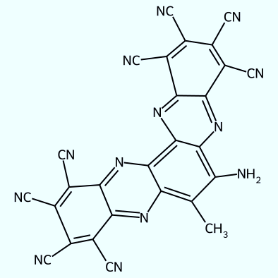 Cc1c(N)c2nc3c(C#N)c(C#N)c(C#N)c(C#N)c3nc2c2nc3c(C#N)c(C#N)c(C#N)c(C#N)c3nc12